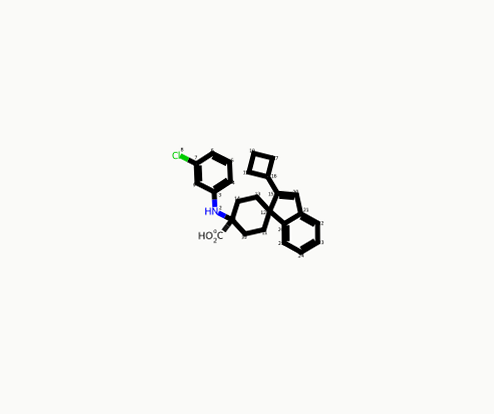 O=C(O)C1(Nc2cccc(Cl)c2)CCC2(CC1)C(C1CCC1)=Cc1ccccc12